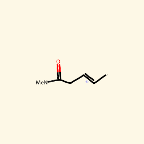 [CH2]/C=C/CC(=O)NC